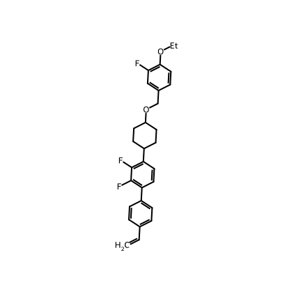 C=Cc1ccc(-c2ccc(C3CCC(OCc4ccc(OCC)c(F)c4)CC3)c(F)c2F)cc1